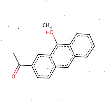 C.CC(=O)c1ccc2cc3ccccc3c(O)c2c1